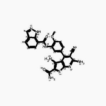 COc1ccc(-c2c(C#N)c(N)nc3sc(C(N)=O)c(N)c23)cc1NC(=O)c1cccc2cn[nH]c12